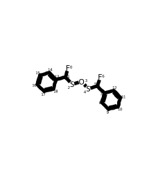 FC(SOSC(F)c1ccccc1)c1ccccc1